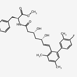 COC(=O)[C@H](Cc1ccccc1)NC(=O)C[C@H](O)C[C@H](O)C=Cc1c(C)cc(C)cc1-c1ccc(F)c(C)c1